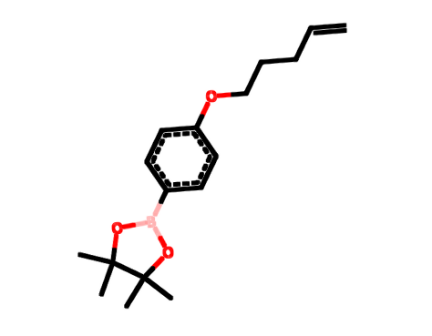 C=CCCCOc1ccc(B2OC(C)(C)C(C)(C)O2)cc1